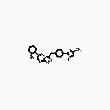 CC(C)c1ccccc1-c1cnc2nnc(Cc3ccc(-c4nc(C(F)(F)F)cn4C)cc3)n2n1